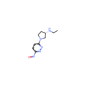 CCN[C@H]1CCN(c2ccc(N=O)nn2)C1